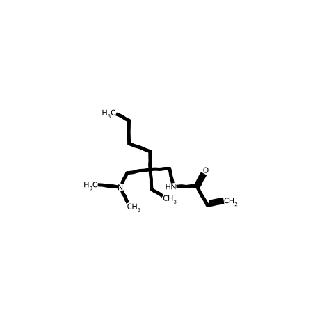 C=CC(=O)NCC(CC)(CCCC)CN(C)C